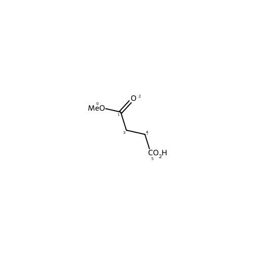 COC(=O)C[CH]C(=O)O